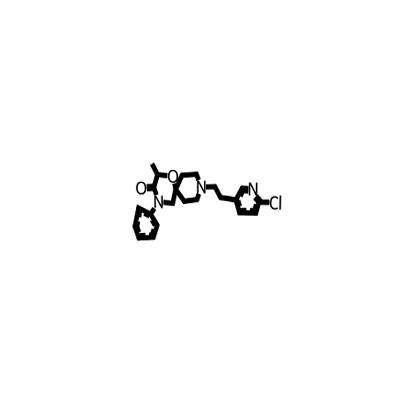 CC1OC2(CCN(CCc3ccc(Cl)nc3)CC2)CN(c2ccccc2)C1=O